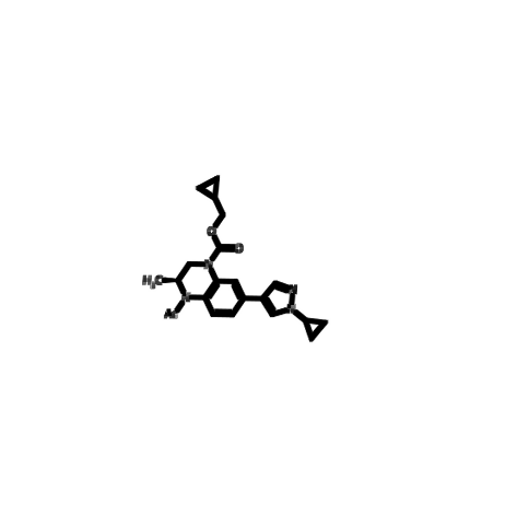 CC(=O)N1c2ccc(-c3cnn(C4CC4)c3)cc2N(C(=O)OCC2CC2)C[C@@H]1C